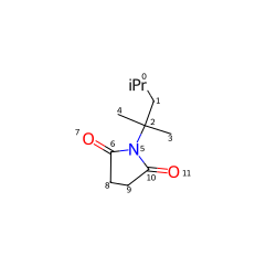 CC(C)CC(C)(C)N1C(=O)CCC1=O